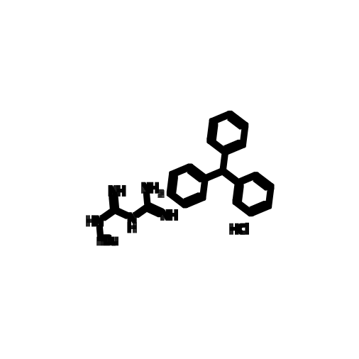 CCCCNC(=N)NC(=N)N.Cl.c1ccc(C(c2ccccc2)c2ccccc2)cc1